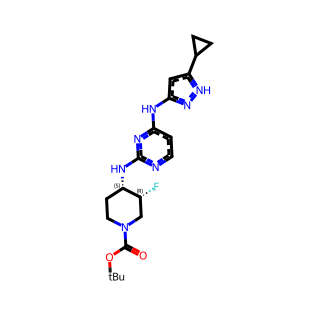 CC(C)(C)OC(=O)N1CC[C@H](Nc2nccc(Nc3cc(C4CC4)[nH]n3)n2)[C@H](F)C1